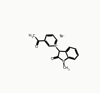 CC(=O)c1ccc[n+](C2C(=O)N(C)c3ccccc32)c1.[Br-]